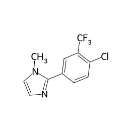 Cn1ccnc1-c1ccc(Cl)c(C(F)(F)F)c1